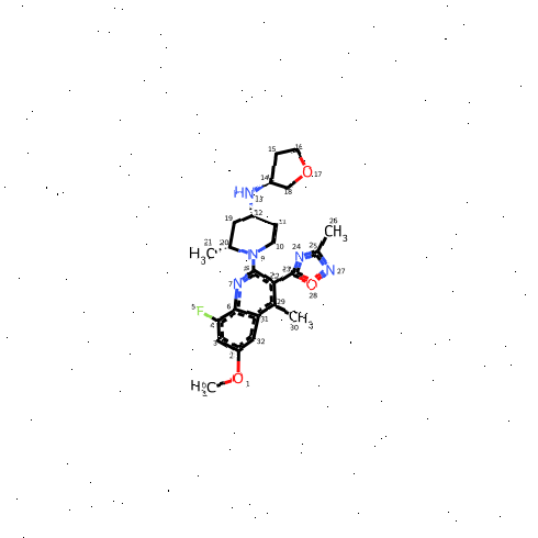 COc1cc(F)c2nc(N3CC[C@@H](N[C@H]4CCOC4)C[C@H]3C)c(-c3nc(C)no3)c(C)c2c1